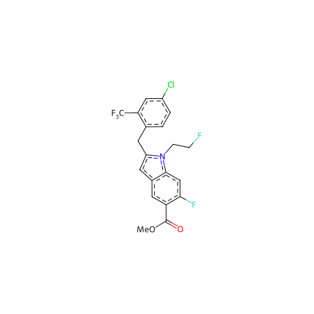 COC(=O)c1cc2cc(Cc3ccc(Cl)cc3C(F)(F)F)n(CCF)c2cc1F